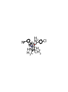 CC(C)C(C)N/C(=N/C(=O)c1cccc(C#N)c1)NC(N)CC(N)c1ccc(Cl)cc1